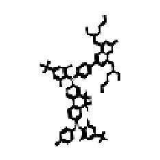 CCCCC(CC)Cc1cc(-c2ccc(N(c3ccc4c(c3)C(C)(C)C(C)(C)c3cc(N(c5ccc(C)cc5)c5c(C)cc(C(C)(C)C)cc5C)ccc3-4)c3c(C)cc(C(C)(C)C)cc3C)cc2)cc2c(CC(CC)CCCC)cc(C)cc12